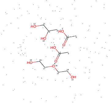 CC(=O)O.CC(=O)O.CC(O)CO.OCCOCCO